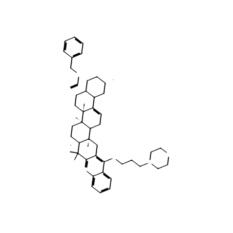 C[C@@H]1[C@H]2C3=CC[C@H]4[C@]5(C)Cc6c(nc7ccccc7c6NCCCN6CCOCC6)C(C)(C)[C@H]5CC[C@]4(C)[C@]3(C)CC[C@@]2(C(=O)OCc2ccccc2)CC[C@@H]1C